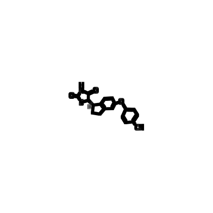 N#Cc1ccc(Oc2ccc3c(c2)CC[C@H]3C2SC(=O)NC2=O)cc1